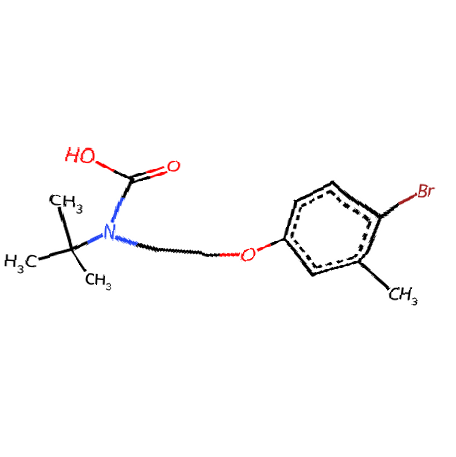 Cc1cc(OCCN(C(=O)O)C(C)(C)C)ccc1Br